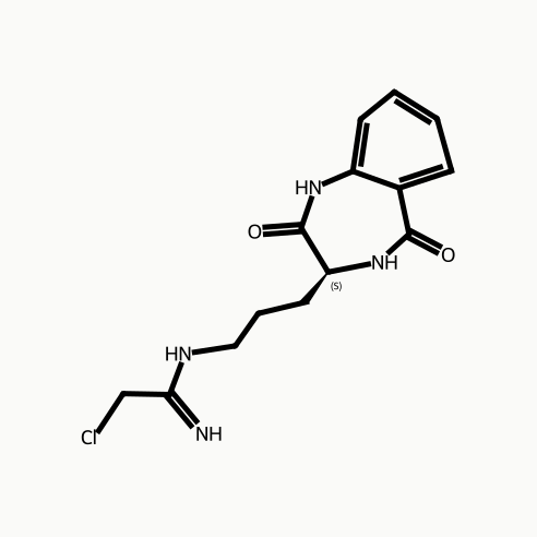 N=C(CCl)NCCC[C@@H]1NC(=O)c2ccccc2NC1=O